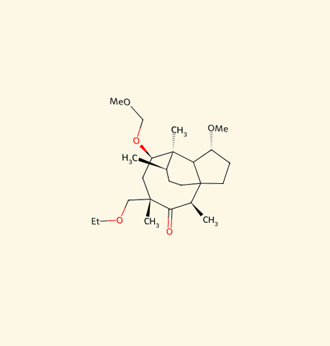 CCOC[C@]1(C)C[C@@H](OCOC)[C@@]2(C)C3[C@H](OC)CCC3(CC[C@H]2C)[C@@H](C)C1=O